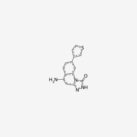 Nc1cc2n[nH]c(=O)n2c2cc(-c3ccsc3)ccc12